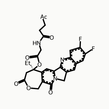 CC[C@@]1(OC(=O)CNC(=O)CCC(C)=O)CC(=O)OCc2c1cc1n(c2=O)Cc2cc3cc(F)c(F)cc3nc2-1